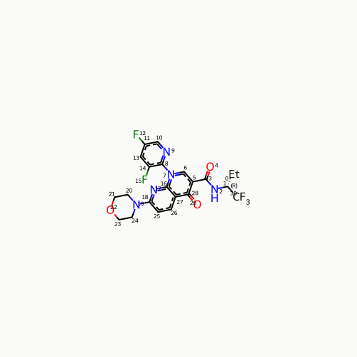 CC[C@@H](NC(=O)c1cn(-c2ncc(F)cc2F)c2nc(N3CCOCC3)ccc2c1=O)C(F)(F)F